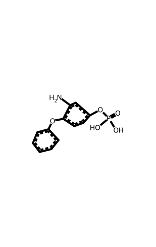 Nc1cc(OP(=O)(O)O)ccc1Oc1ccccc1